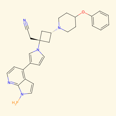 N#CC[C@]1(n2ccc(-c3ccnc4c3ccn4P)c2)C[C@@H](N2CCC(Oc3ccccc3)CC2)C1